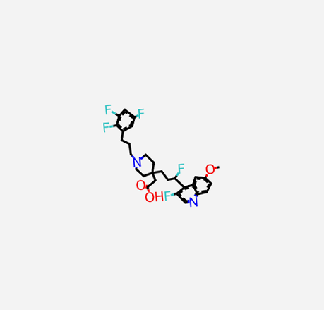 COc1ccc2ncc(F)c(C(F)CCC3(CC(=O)O)CCN(CCCc4cc(F)cc(F)c4F)CC3)c2c1